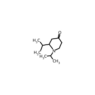 CC(C)C1CC(=O)CCN1C(C)C